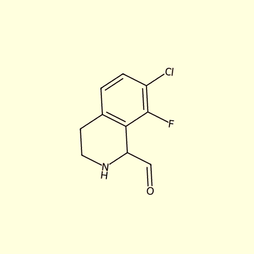 O=CC1NCCc2ccc(Cl)c(F)c21